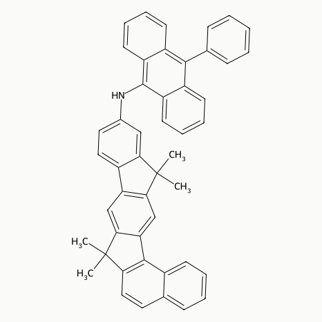 CC1(C)c2cc(Nc3c4ccccc4c(-c4ccccc4)c4ccccc34)ccc2-c2cc3c(cc21)-c1c(ccc2ccccc12)C3(C)C